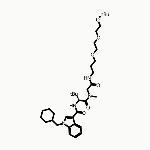 CCCCOCCOCCOCCCNC(=O)CN(C)C(=O)[C@@H](NC(=O)c1cn(CC2CCCCC2)c2ccccc12)C(C)(C)C